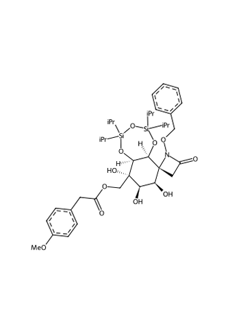 COc1ccc(CC(=O)OC[C@]2(O)[C@H](O)[C@H](O)[C@]3(CC(=O)N3OCc3ccccc3)[C@@H]3O[Si](C(C)C)(C(C)C)O[Si](C(C)C)(C(C)C)O[C@@H]32)cc1